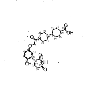 Cc1ccc(OCC(=O)N2CCN(C3CCC(C(=O)O)CC3)CC2)cc1N1CCC(=O)NC1=O